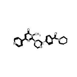 Cn1c(N2CCO[C@@H](c3ccc(C(=O)N4CCCCC4)cc3)C2)nc(-c2ccncc2)cc1=O